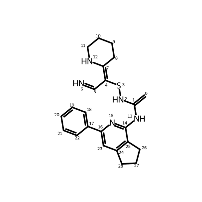 C=C(NS/C(C=N)=C1\CCCCN1)Nc1nc(-c2ccccc2)cc2c1CCC2